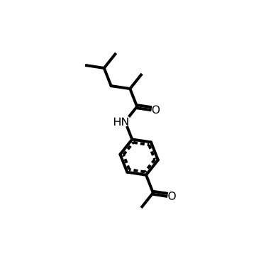 CC(=O)c1ccc(NC(=O)C(C)CC(C)C)cc1